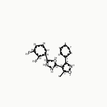 Cc1onc(-c2ccccc2)c1-c1nnc(-c2cccc(F)c2F)o1